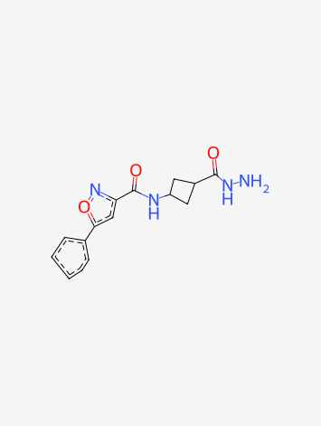 NNC(=O)C1CC(NC(=O)c2cc(-c3ccccc3)on2)C1